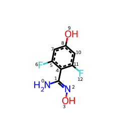 N/C(=N\O)c1c(F)cc(O)cc1F